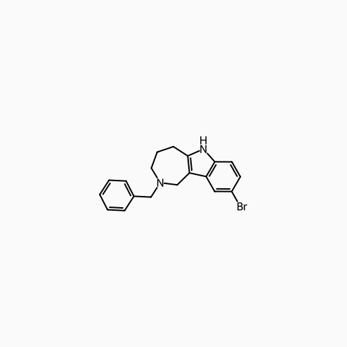 Brc1ccc2[nH]c3c(c2c1)CN(Cc1ccccc1)CCC3